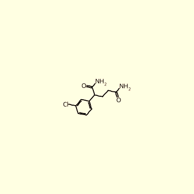 NC(=O)CCC(C(N)=O)c1cccc(Cl)c1